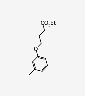 CCOC(=O)CCCOc1cccc(C)c1